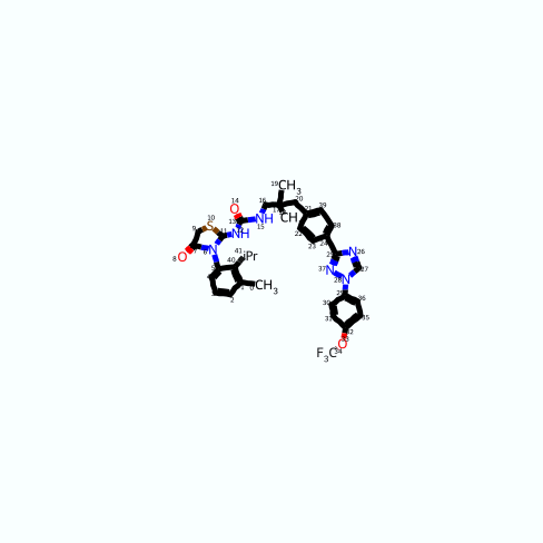 Cc1cccc(N2C(=O)CSC2NC(=O)NCC(C)(C)Cc2ccc(-c3ncn(-c4ccc(OC(F)(F)F)cc4)n3)cc2)c1C(C)C